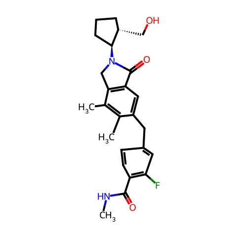 CNC(=O)c1ccc(Cc2cc3c(c(C)c2C)CN([C@H]2CCC[C@@H]2CO)C3=O)cc1F